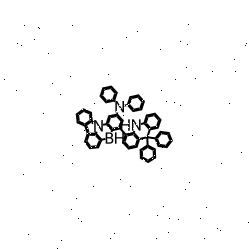 B1c2c(-c3cccc4c3Nc3ccccc3C4(c3ccccc3)c3ccccc3)cc(N(c3ccccc3)c3ccccc3)cc2-n2c3ccccc3c3cccc1c32